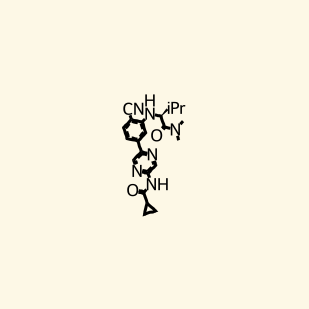 CC(C)[C@H](Nc1cc(-c2cnc(NC(=O)C3CC3)cn2)ccc1C#N)C(=O)N(C)C